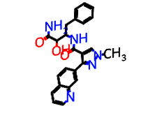 Cn1cc(C(=O)NC(Cc2ccccc2)C(O)C(N)=O)c(-c2ccc3cccnc3c2)n1